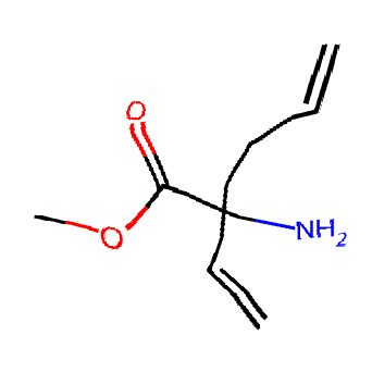 C=CCC(N)(C=C)C(=O)OC